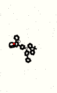 CC1(C)c2ccccc2-c2c(N(c3ccc(-c4ccccc4)cc3)c3ccc(-c4cc5c(c6c4oc4ccccc46)C4CC6CC(CC5C6)C4)cc3)cccc21